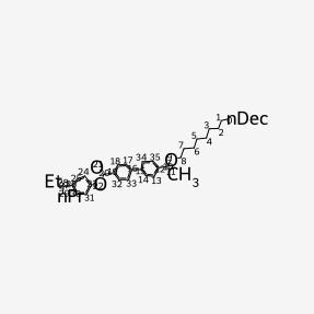 CCCCCCCCCCCCCCCCCCOC(C)c1ccc(-c2ccc(C(=O)Oc3ccc(C(CC)CCC)cc3)cc2)cc1